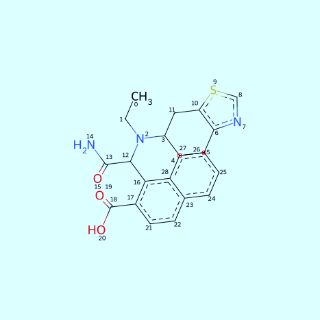 CCN(C1CCc2ncsc2C1)C(C(N)=O)c1c(C(=O)O)ccc2ccccc12